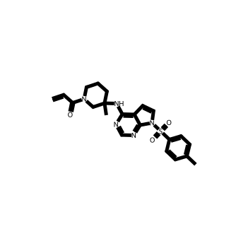 C=CC(=O)N1CCCC(C)(Nc2ncnc3c2ccn3S(=O)(=O)c2ccc(C)cc2)C1